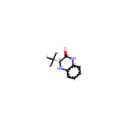 CC(C)(C)[C@H]1Nc2ccccc2NC1=O